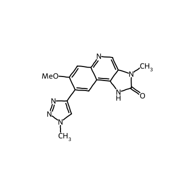 COc1cc2ncc3c([nH]c(=O)n3C)c2cc1-c1cn(C)nn1